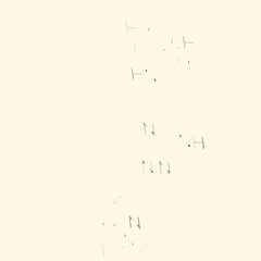 CN(c1ccccc1-c1ccc2cnc(Nc3ccc4c(c3)NC(=O)C(C)(C)O4)nn12)S(C)(=O)=O